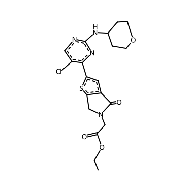 CCOC(=O)CN1Cc2sc(-c3nc(NC4CCOCC4)ncc3Cl)cc2C1=O